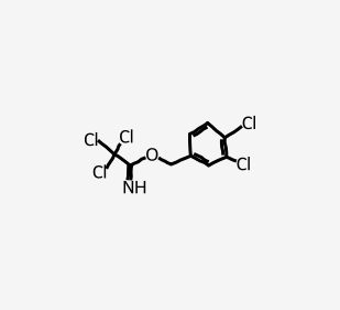 N=C(OCc1ccc(Cl)c(Cl)c1)C(Cl)(Cl)Cl